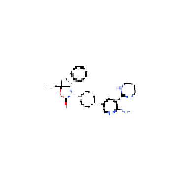 CC1(C)OC(=O)N([C@H]2CC[C@H](c3cnc(N)c(C4=NCCCN4)c3)CC2)[C@H]1c1ccccc1